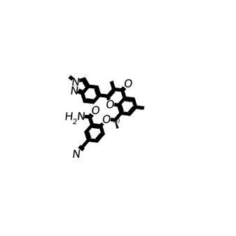 Cc1cc([C@@H](C)Oc2ccc(C#N)cc2C(N)=O)c2oc(-c3ccc4nn(C)cc4c3)c(C)c(=O)c2c1